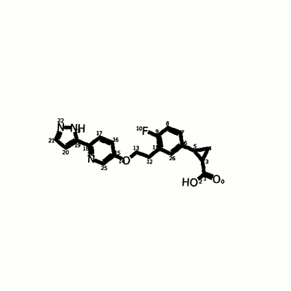 O=C(O)C1CC1c1ccc(F)c(CCOc2ccc(-c3ccn[nH]3)nc2)c1